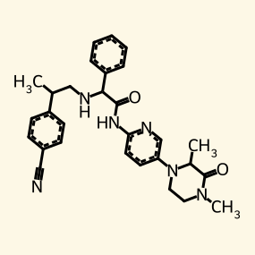 CC(CNC(C(=O)Nc1ccc(N2CCN(C)C(=O)C2C)cn1)c1ccccc1)c1ccc(C#N)cc1